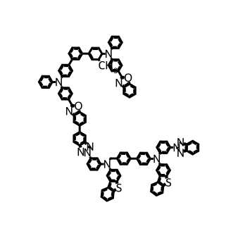 CC1C=C(c2cccc(-c3ccc(N(c4ccccc4)c4ccc(-c5nc6cc(-c7ccc8nn(-c9cccc(N(Cc%10ccc(-c%11ccc(N(c%12cccc(-n%13nc%14ccccc%14n%13)c%12)c%12ccc%13sc%14ccccc%14c%13c%12)cc%11)cc%10)c%10ccc%11sc%12ccccc%12c%11c%10)c9)nc8c7)ccc6o5)cc4)cc3)c2)C=CC1N(c1ccccc1)c1ccc(-c2nc3ccccc3o2)cc1